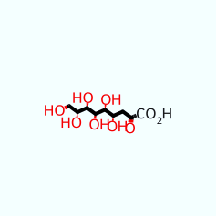 O=C(O)C(=O)C[C@H](O)[C@@H](O)[C@@H](O)[C@H](O)[C@H](O)CO